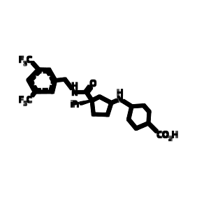 CC(C)[C@]1(C(=O)NCc2cc(C(F)(F)F)cc(C(F)(F)F)c2)CCC(NC2CCC(C(=O)O)CC2)C1